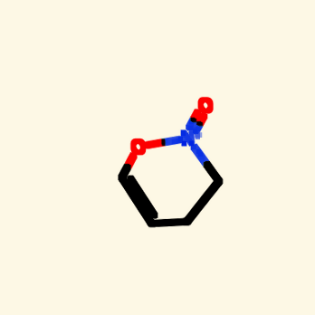 O=[N+]1CCC=CO1